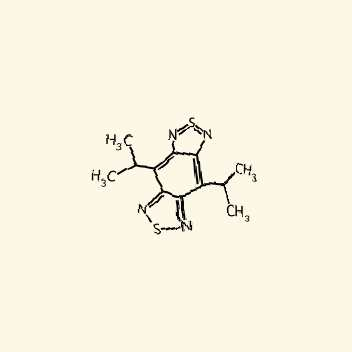 CC(C)c1c2c(c(C(C)C)c3nsnc13)N=S=N2